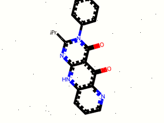 CC(C)c1nc2[nH]c3cccnc3c(=O)c2c(=O)n1-c1ccccc1